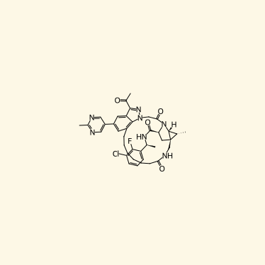 CC(=O)c1nn2c3c(cc(-c4cnc(C)nc4)cc13)CCCCCCC(=O)NC[C@@]13C[C@@H](C(=O)N[C@@H](C)c4cccc(Cl)c4F)N(C(=O)C2)[C@@H]1[C@@H]3C